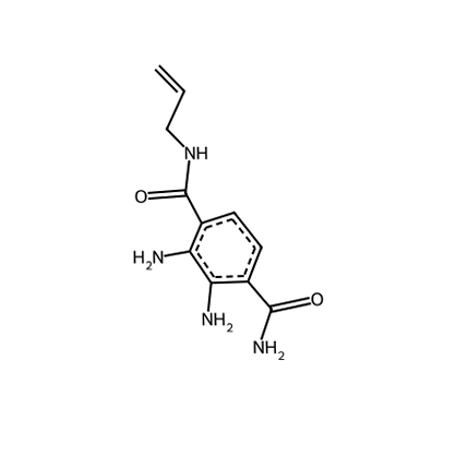 C=CCNC(=O)c1ccc(C(N)=O)c(N)c1N